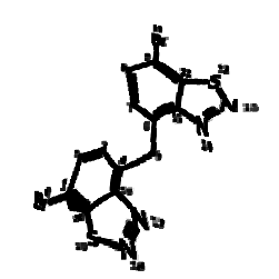 Brc1ccc(Cc2ccc(Br)c3snnc23)c2nnsc12